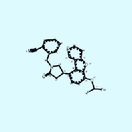 N#Cc1ccccc1CN1CC(c2ccc(OC(F)F)c3oc4ccncc4c23)CC1=O